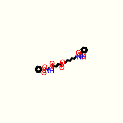 O=C(/C=C/C(=O)OCNS(=O)(=O)c1ccccc1)OCCCCCCNS(=O)(=O)c1ccccc1